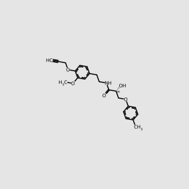 C#CCOc1ccc(CCNC(=O)[C@H](O)COc2ccc(C)cc2)cc1OC